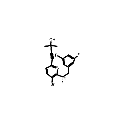 C[C@@H](Cc1cc(F)cc(F)c1)c1nc(C#CC(C)(C)O)ccc1Br